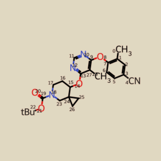 Cc1cc(C#N)ccc1Oc1ncnc(OC2CCN(C(=O)OC(C)(C)C)CC23CC3)c1C